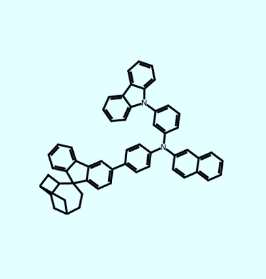 c1cc(N(c2ccc(-c3ccc4c(c3)-c3ccccc3C43CCC4CC5CC3C5C4)cc2)c2ccc3ccccc3c2)cc(-n2c3ccccc3c3ccccc32)c1